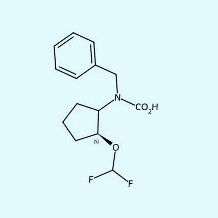 O=C(O)N(Cc1ccccc1)C1CCC[C@@H]1OC(F)F